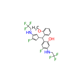 COc1ccccc1C(c1cc(F)c(NCC(F)(F)F)cc1O)C1C=C(F)C(NCC(F)(F)F)=C1